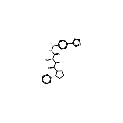 C[C@@H](NC(=O)[C@H](O)[C@@H](O)C(=O)N1CCC[C@@H]1c1ccccc1)c1ccc(-c2ccsc2)cc1